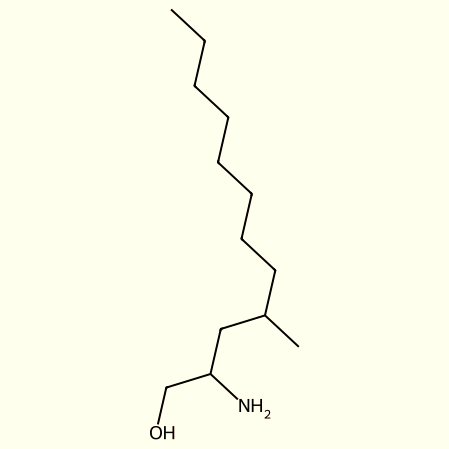 CCCCCCCCC(C)CC(N)CO